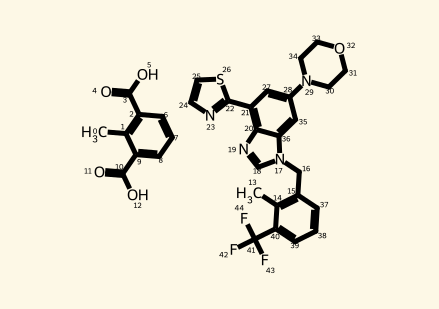 Cc1c(C(=O)O)cccc1C(=O)O.Cc1c(Cn2cnc3c(-c4nccs4)cc(N4CCOCC4)cc32)cccc1C(F)(F)F